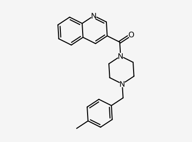 Cc1ccc(CN2CCN(C(=O)c3cnc4ccccc4c3)CC2)cc1